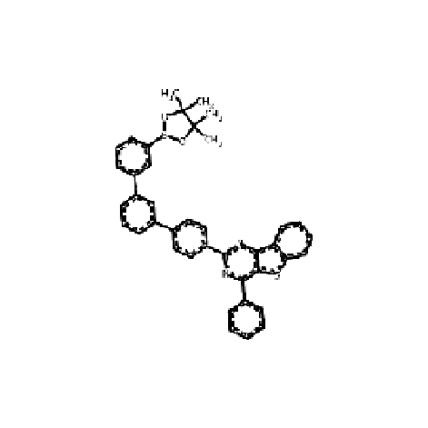 CC1(C)OB(c2cccc(-c3cccc(-c4ccc(-c5nc(-c6ccccc6)c6sc7ccccc7c6n5)cc4)c3)c2)OC1(C)C